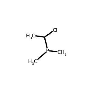 CC(Cl)P(C)C